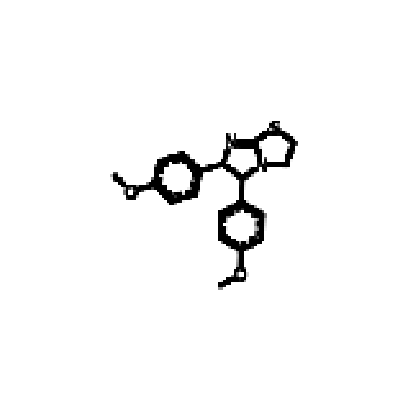 COc1ccc(C2N=C3SCCN3C2c2ccc(OC)cc2)cc1